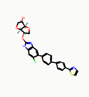 O[C@@H]1CO[C@H]2[C@@H]1OC[C@H]2Oc1nc2cc(-c3ccc(-c4ccc(-c5nccs5)cc4)cc3)c(Cl)cc2[nH]1